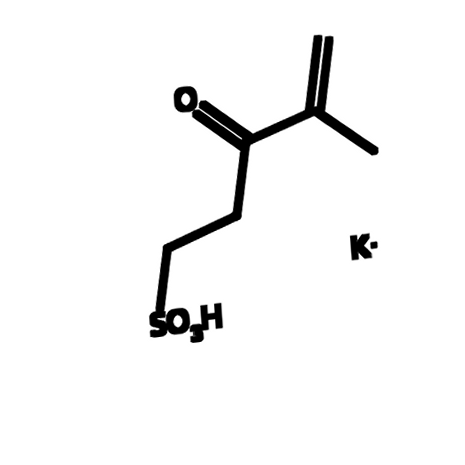 C=C(C)C(=O)CCS(=O)(=O)O.[K]